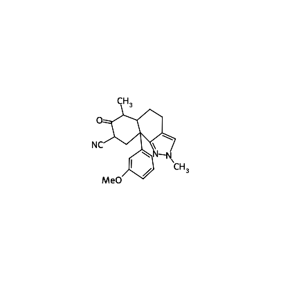 COc1cccc(C23CC(C#N)C(=O)C(C)C2CCc2cn(C)nc23)c1